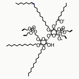 C=CCOP(=O)(OCC=C)OCCO[C@H]1O[C@H](CO[C@H]2O[C@H](COC)[C@@H](OP(=O)(OCC=C)OCC=C)[C@H](OCC[C@@H](CCCCCCC)OC)[C@H]2OCCCCCCCCCC/C=C\CCCCCC)[C@@H](O)[C@H](OCCCCCCCCCCCC)[C@H]1OCCCCCCCCCCCC